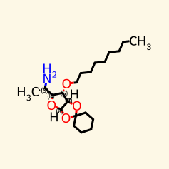 CCCCCCCCCO[C@@H]1[C@H]2OC3(CCCCC3)O[C@H]2O[C@@H]1[C@H](C)N